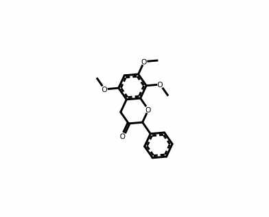 COc1cc(OC)c(OC)c2c1CC(=O)C(c1ccccc1)O2